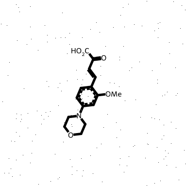 COc1cc(N2CCOCC2)ccc1C=CC(=O)C(=O)O